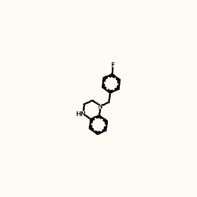 Fc1ccc(CN2CCNc3ccccc32)cc1